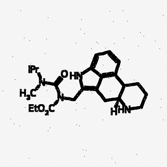 CCOC(=O)N(Cc1[nH]c2cccc3c2c1C[C@H]1NCCCC31)C(=O)N(C)C(C)C